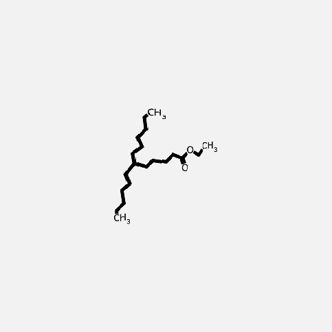 CCCCCCC(CCCCCC)CCCCC(=O)OCC